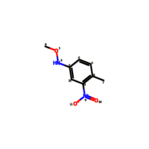 CONc1ccc(C)c([N+](=O)[O-])c1